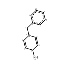 [NH]C1C=CN(Cc2ccccc2)C=C1